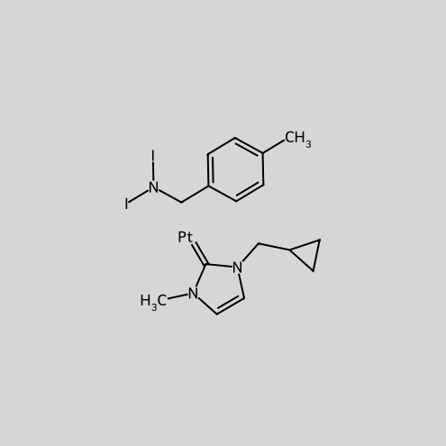 Cc1ccc(CN(I)I)cc1.Cn1ccn(CC2CC2)[c]1=[Pt]